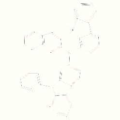 CC1(C)c2ccccc2-c2cccc(N(c3ccc4c(c3)CCC=C4)c3ccc4c5ccccc5n(-c5ccccc5)c4c3)c21